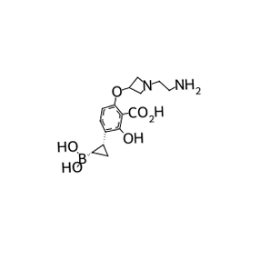 NCCN1CC(Oc2ccc([C@@H]3C[C@@H]3B(O)O)c(O)c2C(=O)O)C1